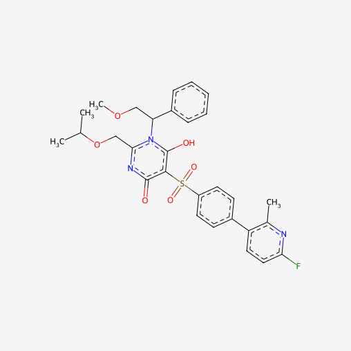 COCC(c1ccccc1)n1c(COC(C)C)nc(=O)c(S(=O)(=O)c2ccc(-c3ccc(F)nc3C)cc2)c1O